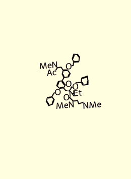 CCN(C(=O)[C@H](CCCNC)NC)[C@@H](Cc1cc(-c2ccc(OCc3ccccc3)c(C[C@H](NC)C(C)=O)c2)ccc1OCc1ccccc1)C(=O)OCc1ccccc1